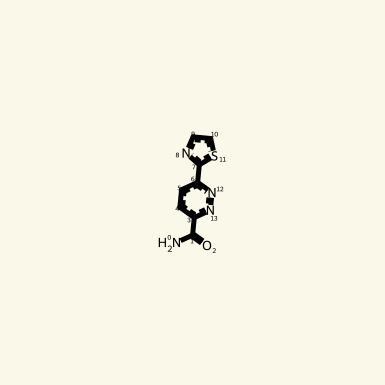 NC(=O)c1ccc(-c2nccs2)nn1